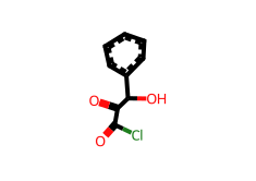 O=C(Cl)C(=O)C(O)c1ccccc1